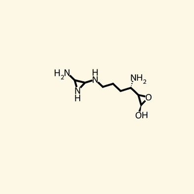 NC1NC1NCCC[C@H](N)C1O[C@H]1O